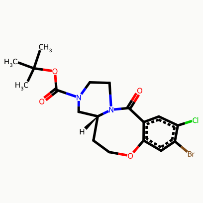 CC(C)(C)OC(=O)N1CCN2C(=O)c3cc(Cl)c(Br)cc3OCC[C@@H]2C1